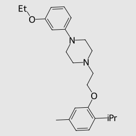 CCOc1cccc(N2CCN(CCOc3cc(C)ccc3C(C)C)CC2)c1